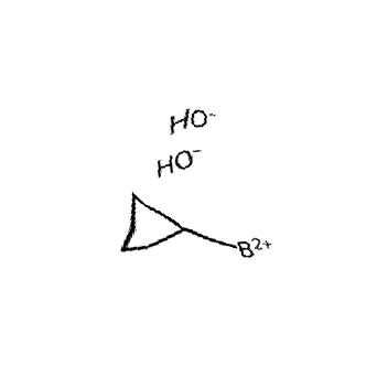 [B+2]C1CC1.[OH-].[OH-]